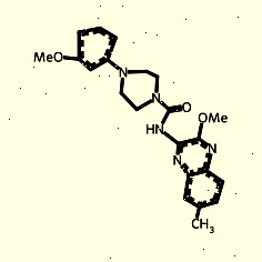 COc1cccc(N2CCN(C(=O)Nc3nc4cc(C)ccc4nc3OC)CC2)c1